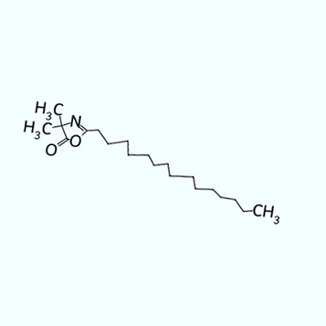 CCCCCCCCCCCCCCCC1=NC(C)(C)C(=O)O1